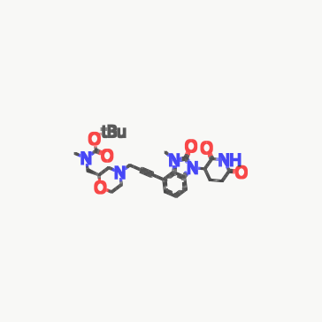 CN(C[C@H]1CN(CC#Cc2cccc3c2n(C)c(=O)n3C2CCC(=O)NC2=O)CCO1)C(=O)OC(C)(C)C